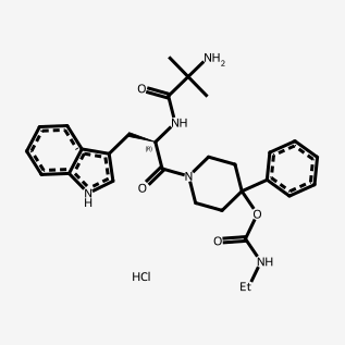 CCNC(=O)OC1(c2ccccc2)CCN(C(=O)[C@@H](Cc2c[nH]c3ccccc23)NC(=O)C(C)(C)N)CC1.Cl